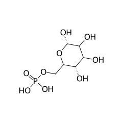 O=P(O)(O)OCC1O[C@H](O)C(O)C(O)[C@@H]1O